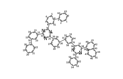 c1ccc(-c2cccc(-c3nc(-c4cccc(-c5ccccc5)c4)nc(-c4cccc(-c5cccc(-c6cc(-c7cccc8ccccc78)nc(-c7ccccc7)n6)c5)c4)n3)c2)cc1